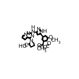 COC(=O)c1cc(-c2cc(Nc3nc(N4CCC[C@H]4CO)c4cccn4n3)n[nH]2)cc(OC)c1OC